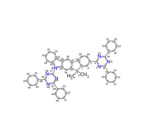 CC1(C)c2cc(-c3nc(-c4ccccc4)nc(-c4ccccc4)n3)ccc2-c2cc3c4ccccc4n(-c4nc(-c5ccccc5)nc(-c5ccccc5)n4)c3cc21